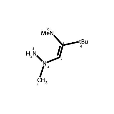 CN/C(=C\N(C)N)C(C)(C)C